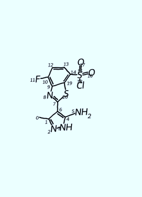 Cc1n[nH]c(N)c1-c1nc2c(F)ccc(S(=O)(=O)Cl)c2s1